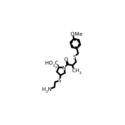 COc1ccc(CSCC(C)C(=O)N2CC(SCCN)C[C@H]2C(=O)O)cc1